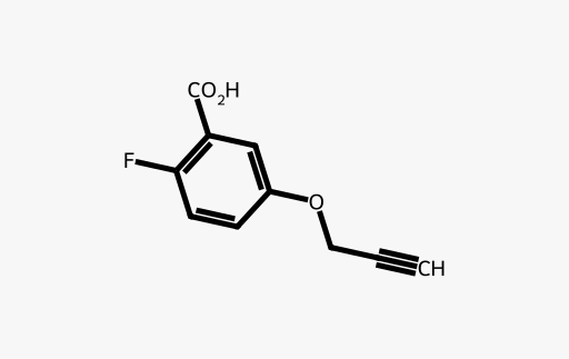 C#CCOc1ccc(F)c(C(=O)O)c1